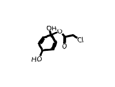 O=C(CCl)OC1(O)C=CC(O)C=C1